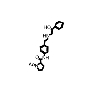 CC(=O)N1CCCC1C(=O)Nc1ccc(CCNCC(O)c2ccccc2)cc1